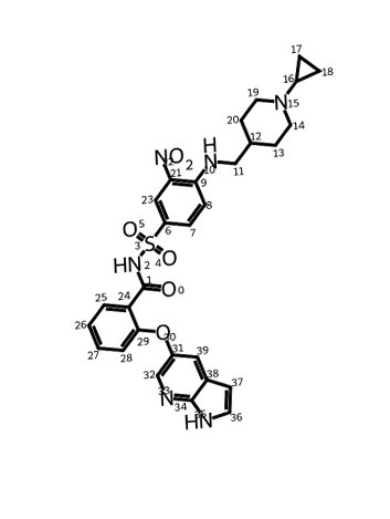 O=C(NS(=O)(=O)c1ccc(NCC2CCN(C3CC3)CC2)c([N+](=O)[O-])c1)c1ccccc1Oc1cnc2[nH]ccc2c1